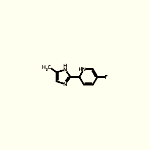 Cc1cnc(C2C=CC(F)=CN2)[nH]1